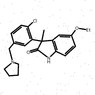 CCOc1ccc2c(c1)C(C)(c1cc(CN3CCCC3)ccc1Cl)C(=O)N2